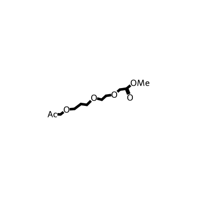 COC(=O)COCCOCCCOCC(C)=O